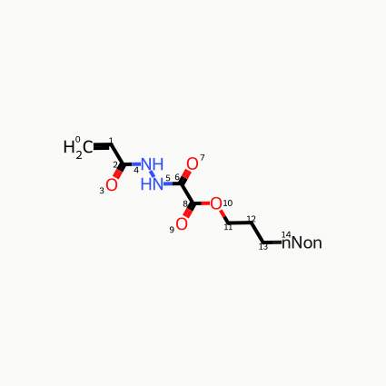 C=CC(=O)NNC(=O)C(=O)OCCCCCCCCCCCC